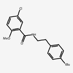 COc1ccc(Cl)cc1C(=O)NCCc1ccc(C(C)(C)C)cc1